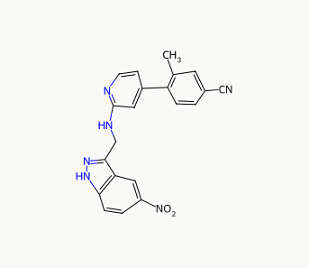 Cc1cc(C#N)ccc1-c1ccnc(NCc2n[nH]c3ccc([N+](=O)[O-])cc23)c1